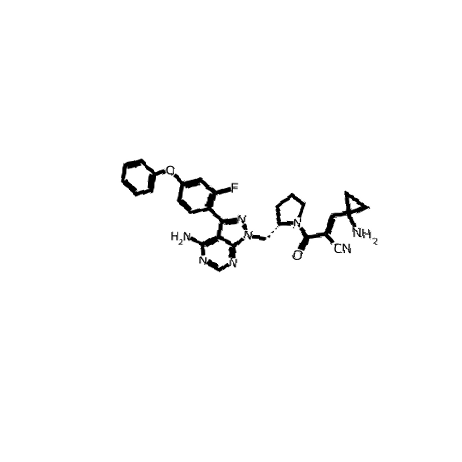 N#CC(=CC1(N)CC1)C(=O)N1CCC[C@H]1Cn1nc(-c2ccc(Oc3ccccc3)cc2F)c2c(N)ncnc21